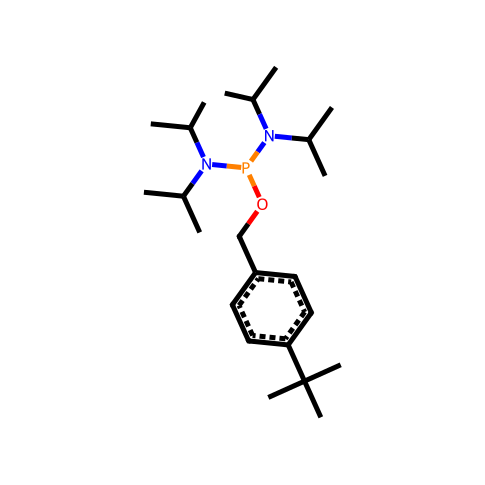 CC(C)N(C(C)C)P(OCc1ccc(C(C)(C)C)cc1)N(C(C)C)C(C)C